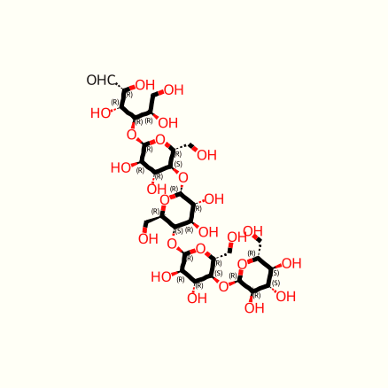 O=C[C@H](O)[C@@H](O)[C@H](O[C@H]1O[C@H](CO)[C@@H](O[C@H]2O[C@H](CO)[C@@H](O[C@H]3O[C@H](CO)[C@@H](O[C@H]4O[C@H](CO)[C@@H](O)[C@H](O)[C@H]4O)[C@H](O)[C@H]3O)[C@H](O)[C@H]2O)[C@H](O)[C@H]1O)[C@H](O)CO